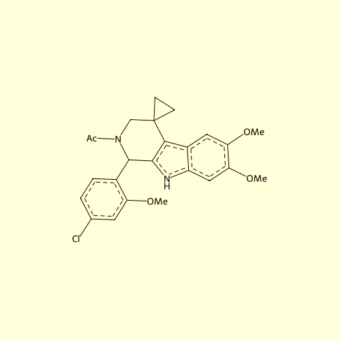 COc1cc2[nH]c3c(c2cc1OC)C1(CC1)CN(C(C)=O)C3c1ccc(Cl)cc1OC